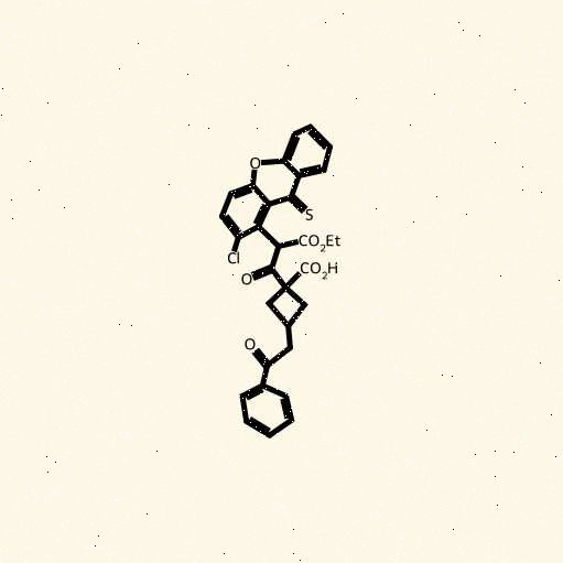 CCOC(=O)C(C(=O)C1(C(=O)O)CC(CC(=O)c2ccccc2)C1)c1c(Cl)ccc2oc3ccccc3c(=S)c12